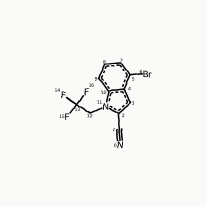 N#Cc1cc2c(Br)cccc2n1CC(F)(F)F